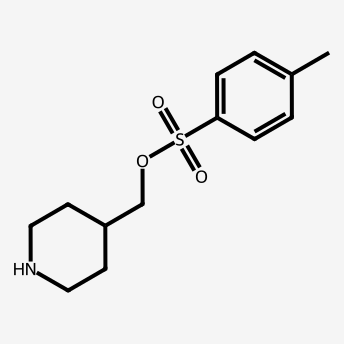 Cc1ccc(S(=O)(=O)OCC2CCNCC2)cc1